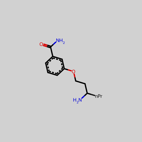 CCCC(N)CCOc1cccc(C(N)=O)c1